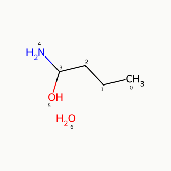 CCCC(N)O.O